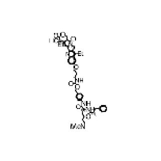 CCc1c2c(nc3ccc(OCCCNC(=O)OCc4ccc(NC(=O)[C@H](CCCCNC)NC(=O)[C@@H](C)Cc5ccccc5)cc4)cc13)-c1cc3c(c(=O)n1C2)COC(=O)[C@]3(O)CC